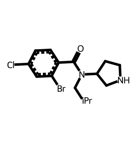 CC(C)CN(C(=O)c1ccc(Cl)cc1Br)C1CCNC1